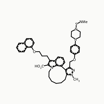 CNSN1CCN(c2ccc(OCc3nn(C)c4c3-c3cccc5c(CCCOc6cccc7ccccc67)c(C(=O)O)n(c35)CCCCCC4)cc2)CC1